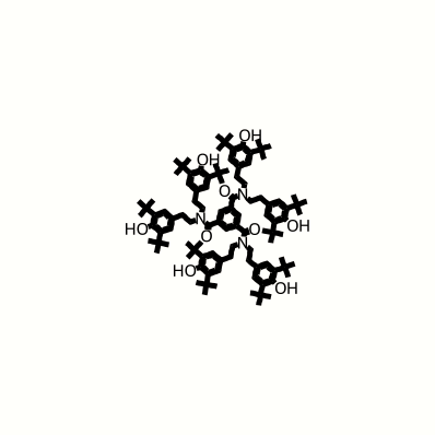 CC(C)(C)c1cc(CCN(CCc2cc(C(C)(C)C)c(O)c(C(C)(C)C)c2)C(=O)c2cc(C(=O)N(CCc3cc(C(C)(C)C)c(O)c(C(C)(C)C)c3)CCc3cc(C(C)(C)C)c(O)c(C(C)(C)C)c3)cc(C(=O)N(CCc3cc(C(C)(C)C)c(O)c(C(C)(C)C)c3)CCc3cc(C(C)(C)C)c(O)c(C(C)(C)C)c3)c2)cc(C(C)(C)C)c1O